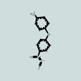 Cc1ccc(Oc2ccc(P(=O)=S=S)cc2)cc1